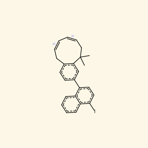 CC1(C)C/C=C\C=C/Cc2ccc(-c3ccc(I)c4ccccc34)cc21